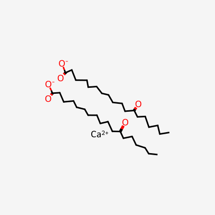 CCCCCCC(=O)CCCCCCCCCCC(=O)[O-].CCCCCCC(=O)CCCCCCCCCCC(=O)[O-].[Ca+2]